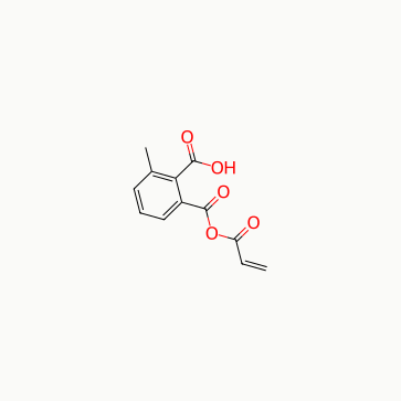 C=CC(=O)OC(=O)c1cccc(C)c1C(=O)O